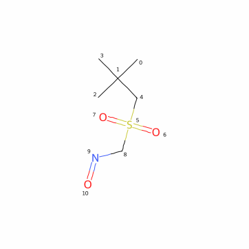 CC(C)(C)CS(=O)(=O)CN=O